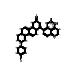 O=C1C=C(c2ccc3n[c]cc4c3c2CNN4)c2ccc3c4c(ccc3c2=C1)CCC(c1ccc(F)cc1)C=4